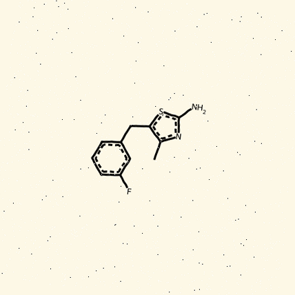 Cc1nc(N)sc1Cc1cccc(F)c1